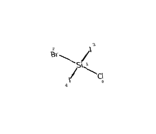 Cl[Si](Br)(I)I